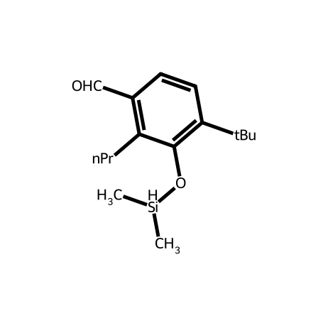 CCCc1c(C=O)ccc(C(C)(C)C)c1O[SiH](C)C